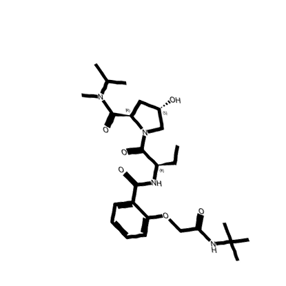 CC[C@@H](NC(=O)c1ccccc1OCC(=O)NC(C)(C)C)C(=O)N1C[C@@H](O)C[C@@H]1C(=O)N(C)C(C)C